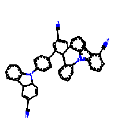 N#CC1=CCC(c2ccccc2-n2c3ccccc3c3c(C#N)cccc32)C(c2ccc(N3c4ccccc4C4C=C(C#N)C=CC43)cc2)=C1